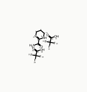 NC(=O)C1=NCCCN1.O=C(O)C(F)(F)F.O=C(O)C(F)(F)F